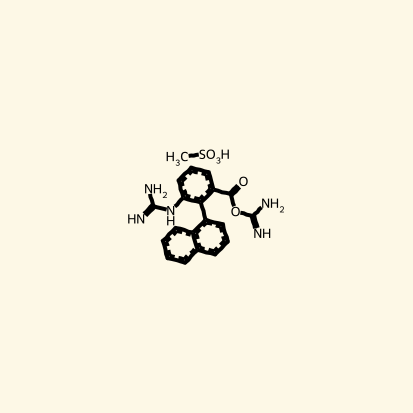 CS(=O)(=O)O.N=C(N)Nc1cccc(C(=O)OC(=N)N)c1-c1cccc2ccccc12